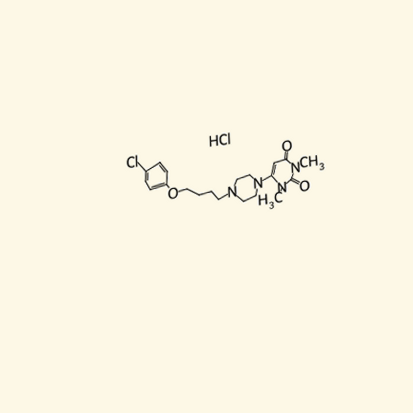 Cl.Cn1c(N2CCN(CCCCOc3ccc(Cl)cc3)CC2)cc(=O)n(C)c1=O